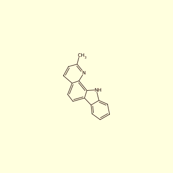 Cc1ccc2ccc3c4ccccc4[nH]c3c2n1